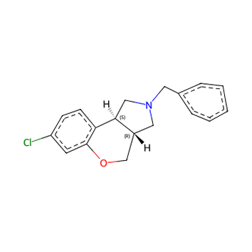 Clc1ccc2c(c1)OC[C@H]1CN(Cc3ccccc3)C[C@H]21